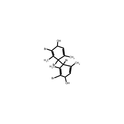 CC1=CC(O)C(Br)=C(C)C1(Br)C1(Br)C(C)=CC(O)C(Br)=C1C